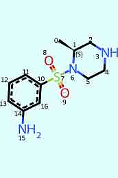 C[C@H]1CNCCN1S(=O)(=O)c1cccc(N)c1